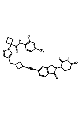 O=C1CCC(N2Cc3cc(C#CC4CN(Cc5cnn(C6(C(=O)Nc7ccc(C(F)(F)F)cc7Cl)CCC6)c5)C4)ccc3C2=O)C(=O)N1